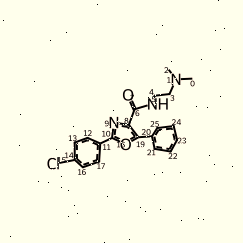 CN(C)CCNC(=O)c1nc(-c2ccc(Cl)cc2)oc1-c1ccccc1